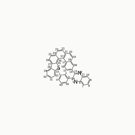 c1ccc(-c2nc3ccccc3nc2-c2ccc3c(ccc4ccc5ccc6c7ccccc7sc6c5c43)c2)cc1